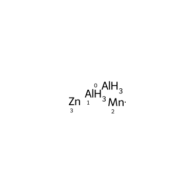 [AlH3].[AlH3].[Mn].[Zn]